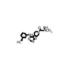 C#Cc1cccc(Nc2ncnc3sc4c(c23)CCN(C(=O)CN(C)C)C4)c1